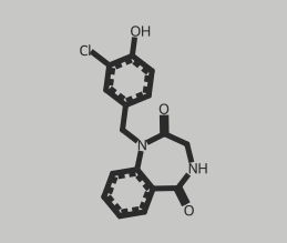 O=C1NCC(=O)N(Cc2ccc(O)c(Cl)c2)c2ccccc21